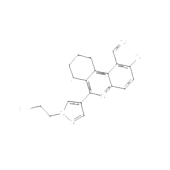 N=Cc1c(N)ccc2nc(-c3cnn(CCO)c3)c3c(c12)CCCC3